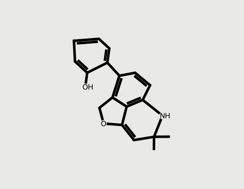 CC1(C)C=C2OCc3c(-c4ccccc4O)ccc(c32)N1